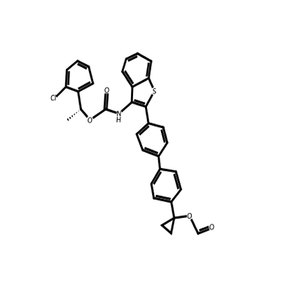 C[C@@H](OC(=O)Nc1c(-c2ccc(-c3ccc(C4(OC=O)CC4)cc3)cc2)sc2ccccc12)c1ccccc1Cl